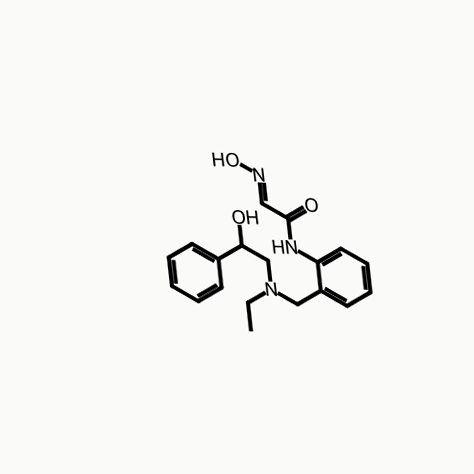 CCN(Cc1ccccc1NC(=O)C=NO)CC(O)c1ccccc1